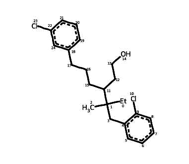 CCC(C)(Cc1ccccc1Cl)C(CCO)CCCc1cccc(Cl)c1